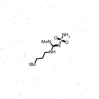 CN/C(=N\S(N)(=O)=O)NCCCC(C)(C)C